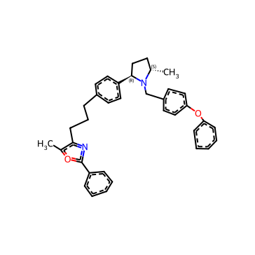 Cc1oc(-c2ccccc2)nc1CCCc1ccc([C@H]2CC[C@H](C)N2Cc2ccc(Oc3ccccc3)cc2)cc1